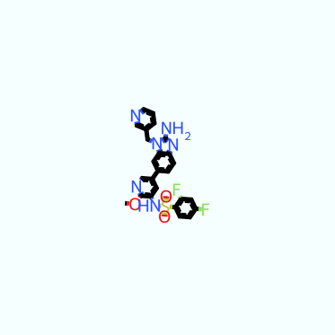 COc1ncc(-c2ccc3nc(N)n(Cc4cccnc4)c3c2)cc1NS(=O)(=O)c1ccc(F)cc1F